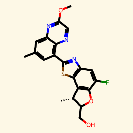 COc1cnc2c(-c3nc4cc(F)c5c(c4s3)[C@@H](C)C(CO)O5)cc(C)cc2n1